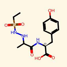 CCS(=O)(=O)NNC(C)C(=O)N[C@@H](Cc1ccc(O)cc1)C(=O)O